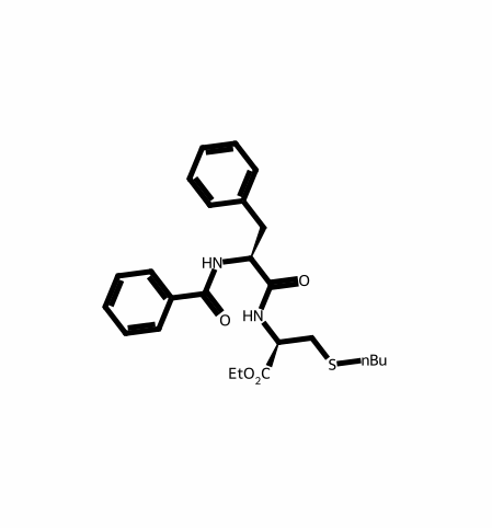 CCCCSC[C@H](NC(=O)[C@H](Cc1ccccc1)NC(=O)c1ccccc1)C(=O)OCC